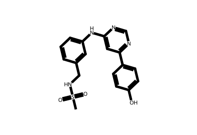 CS(=O)(=O)NCc1cccc(Nc2cc(-c3ccc(O)cc3)ncn2)c1